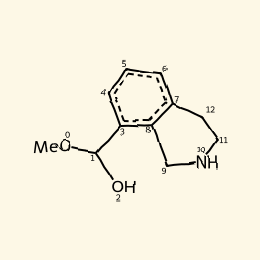 COC(O)c1cccc2c1CNCC2